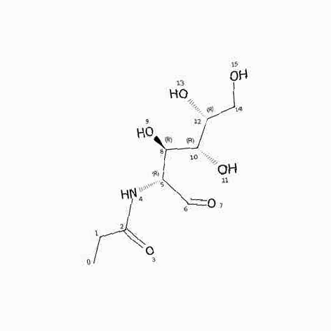 CCC(=O)N[C@@H](C=O)[C@@H](O)[C@@H](O)[C@H](O)CO